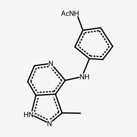 CC(=O)Nc1cccc(Nc2nccc3[nH]nc(C)c23)c1